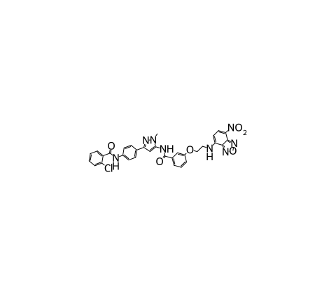 Cn1nc(-c2ccc(NC(=O)c3ccccc3Cl)cc2)cc1NC(=O)c1cccc(OCCNc2ccc([N+](=O)[O-])c3nonc23)c1